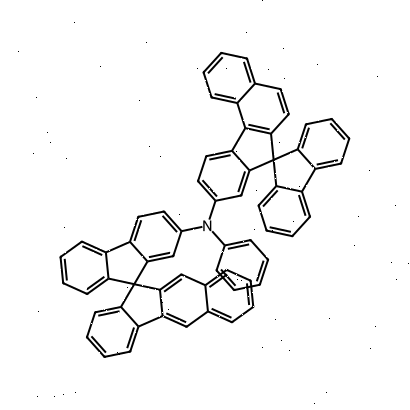 c1ccc(N(c2ccc3c(c2)C2(c4ccccc4-3)c3ccccc3-c3cc4ccccc4cc32)c2ccc3c(c2)C2(c4ccccc4-c4ccccc42)c2ccc4ccccc4c2-3)cc1